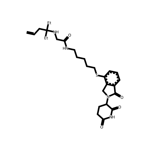 C=CCC(CC)(CC)NCC(=O)NCCCCCSc1cccc2c1CN(C1CCC(=O)NC1=O)C2=O